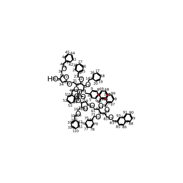 O=P(OCc1ccccc1)(OCC(OCc1ccccc1)C(OCc1ccccc1)C(CO[C@H]1CC(O)[C@@H](COCc2ccccc2)O1)OCc1ccccc1)OC1C[C@H](OCC(OCc2ccccc2)C(OCc2ccccc2)C(COCc2ccc3ccccc3c2)OCc2ccccc2)O[C@@H]1COCc1ccccc1